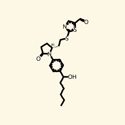 CCCCCC(O)c1ccc(N2C(=O)CC[C@@H]2CCSc2ncc(C=O)s2)cc1